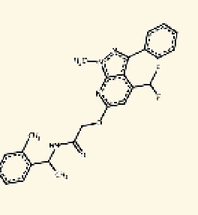 Cc1ccccc1C(C)NC(=O)COc1cc(C(F)F)c2c(-c3ccccc3)nn(C)c2n1